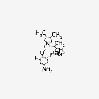 Br.C=C(C)C[N+]1(CCOc2c(I)cc(N)cc2I)CC(C)C(C)C1.[Br-]